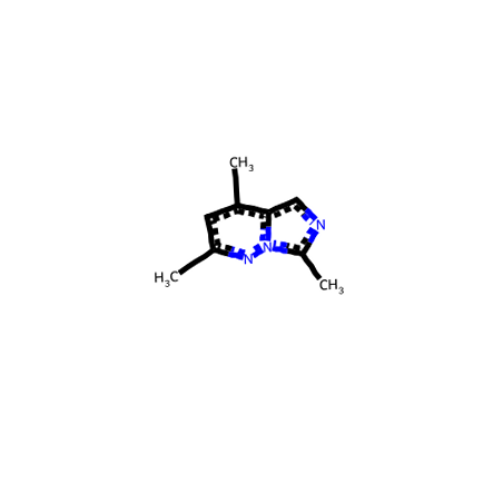 Cc1cc(C)c2cnc(C)n2n1